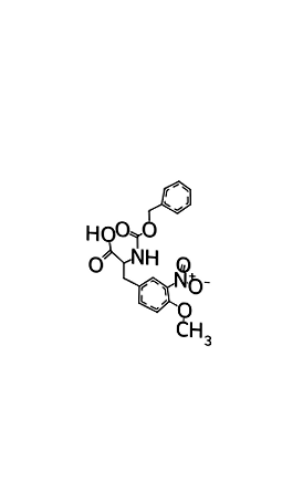 COc1ccc(CC(NC(=O)OCc2ccccc2)C(=O)O)cc1[N+](=O)[O-]